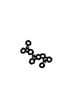 c1ccc(-n2c3ccccc3c3cc(-n4c5ccccc5c5cc6c(ccc7c8ccccc8n(-c8ccccc8)c67)cc54)ccc32)cc1